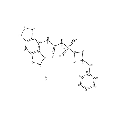 O=C(Nc1c2c(cc3c1CCC3)CCC2)NS(=O)(=O)C1CN(Cc2ccccc2)C1.[K]